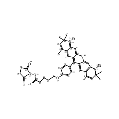 CCN1c2cc3c(cc2C(C)=CC1(C)C)C(c1ccc(OCCCCC(=O)ON2C(=O)CCC2=O)cc1)=c1cc2c(cc1O3)=[N+](CC)C(C)(C)C=C2C